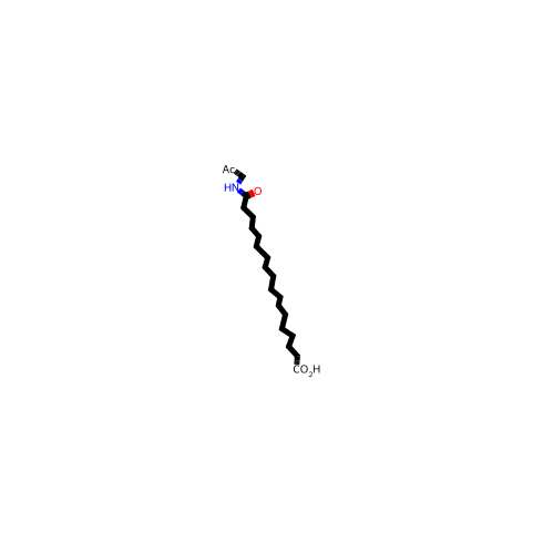 CC(=O)CNC(=O)CCCCCCCCCCCCCCCCC(=O)O